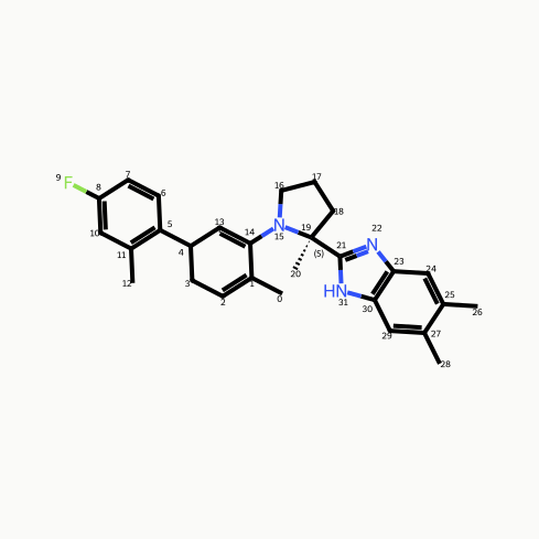 CC1=CCC(c2ccc(F)cc2C)[C]=C1N1CCC[C@@]1(C)c1nc2cc(C)c(C)cc2[nH]1